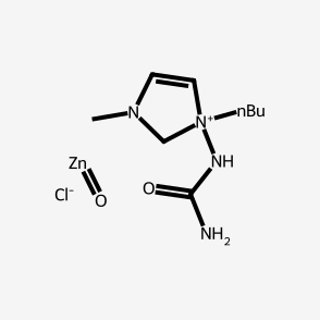 CCCC[N+]1(NC(N)=O)C=CN(C)C1.[Cl-].[O]=[Zn]